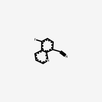 N#Cc1ccc(F)c2cccnc12